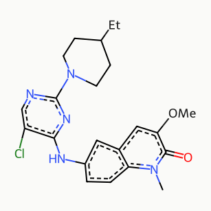 CCC1CCN(c2ncc(Cl)c(Nc3ccc4c(c3)cc(OC)c(=O)n4C)n2)CC1